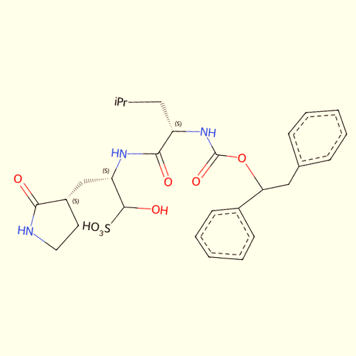 CC(C)C[C@H](NC(=O)OC(Cc1ccccc1)c1ccccc1)C(=O)N[C@@H](C[C@@H]1CCNC1=O)C(O)S(=O)(=O)O